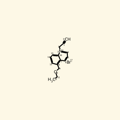 C#CC[n+]1cccc2c(COCC)cccc21.[Br-]